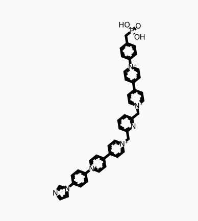 O=P(O)(O)Cc1ccc(-[n+]2ccc(-c3cc[n+](Cc4cccc(C[n+]5ccc(-c6cc[n+](-c7ccc(-n8ccnc8)cc7)cc6)cc5)n4)cc3)cc2)cc1